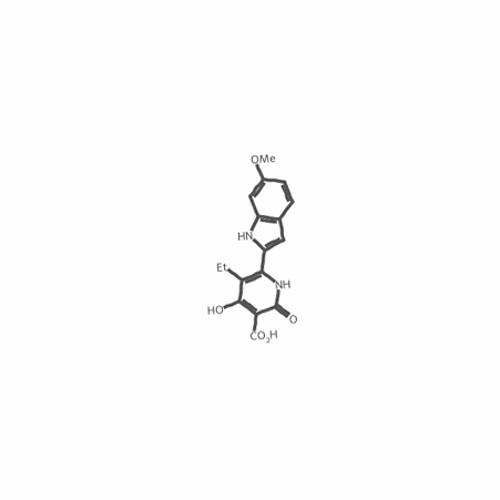 CCc1c(-c2cc3ccc(OC)cc3[nH]2)[nH]c(=O)c(C(=O)O)c1O